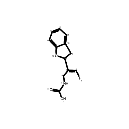 O=C(O)NCC(=CF)C1Cc2ccccc2O1